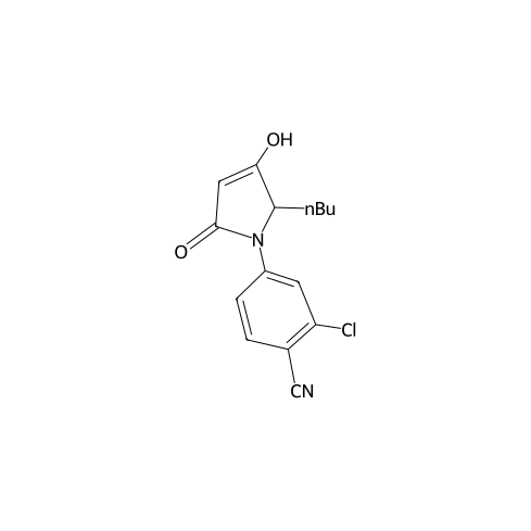 CCCCC1C(O)=CC(=O)N1c1ccc(C#N)c(Cl)c1